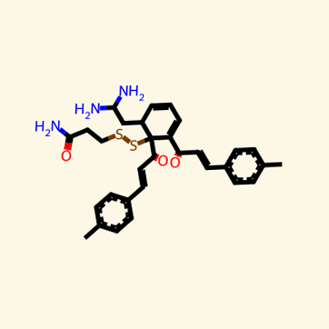 Cc1ccc(C=CC(=O)C2=CC=CC(CC(N)N)C2(SSCCC(N)=O)C(=O)C=Cc2ccc(C)cc2)cc1